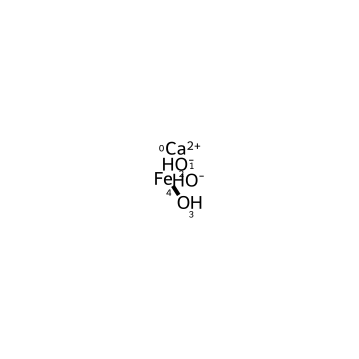 [Ca+2].[OH-].[OH-].[OH][Fe]